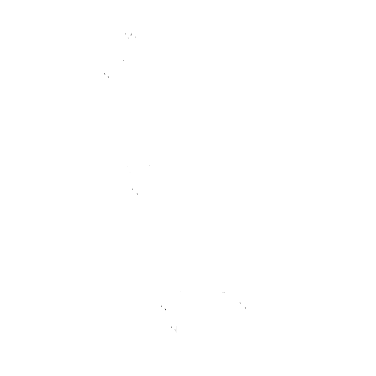 COC(=O)Nc1ccc(S(=O)(=O)N2CCC(c3ccn4nc(C)c(C(=O)N5CCCC5)c4c3)CC2)cc1